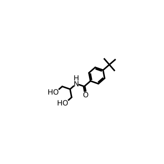 CC(C)(C)c1ccc(C(=O)NC(CO)CO)cc1